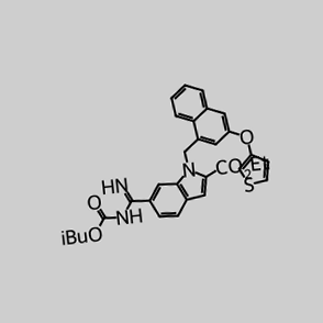 CCOC(=O)c1cc2ccc(C(=N)NC(=O)OCC(C)C)cc2n1Cc1cc(Oc2ccsc2)cc2ccccc12